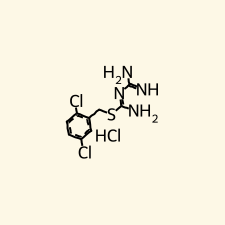 Cl.N=C(N)N=C(N)SCc1cc(Cl)ccc1Cl